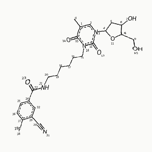 Cc1cn(C2CC(O)C(CO)O2)c(=O)n(CCCCCCNC(=O)c2ccc([18F])c(C#N)c2)c1=O